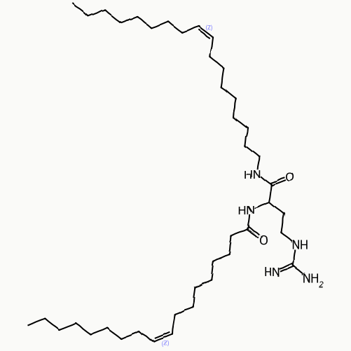 CCCCCCCC/C=C\CCCCCCCCNC(=O)C(CCNC(=N)N)NC(=O)CCCCCCC/C=C\CCCCCCCC